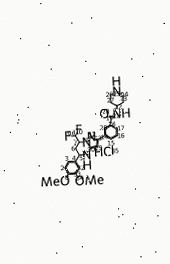 COc1ccc(C2CC(C(F)F)n3nc(-c4cccc(C(=O)NC5CCNCC5)c4)cc3N2)cc1OC.Cl